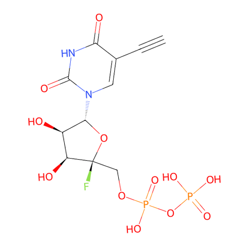 C#Cc1cn([C@@H]2O[C@](F)(COP(=O)(O)OP(=O)(O)O)[C@@H](O)[C@H]2O)c(=O)[nH]c1=O